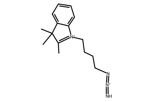 CC1=[N+](CCCCN=[N+]=N)c2ccccc2C1(C)C